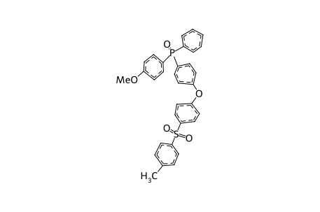 COc1ccc(P(=O)(c2ccccc2)c2ccc(Oc3ccc(S(=O)(=O)c4ccc(C)cc4)cc3)cc2)cc1